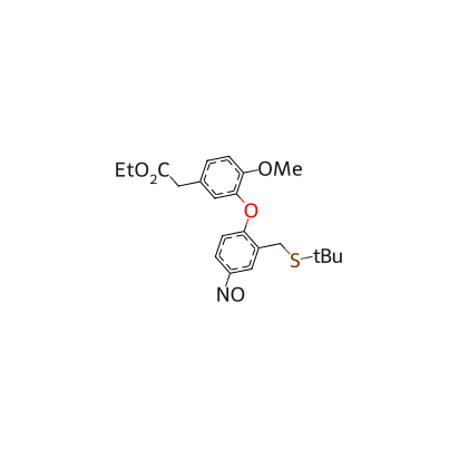 CCOC(=O)Cc1ccc(OC)c(Oc2ccc(N=O)cc2CSC(C)(C)C)c1